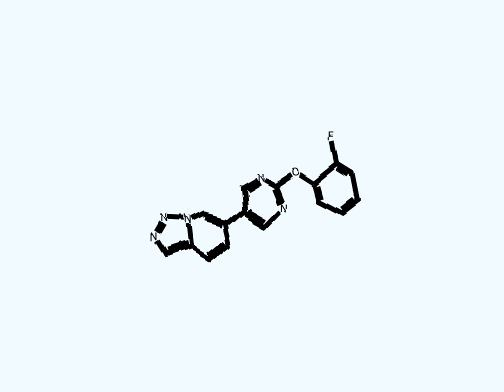 Fc1ccccc1Oc1ncc(-c2ccc3cnnn3c2)cn1